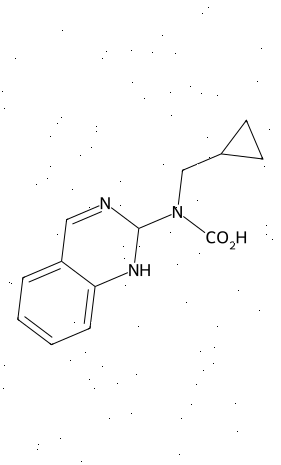 O=C(O)N(CC1CC1)C1N=Cc2ccccc2N1